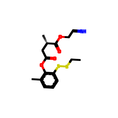 CCSSc1cccc(C)c1OC(=O)C[C@H](C)C(=O)OCC=N